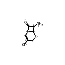 NC1C(=O)N2C=C(Cl)CSC12